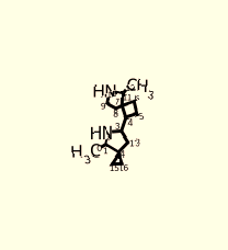 CC1NC(C2CCC23CCNC3C)CC12CC2